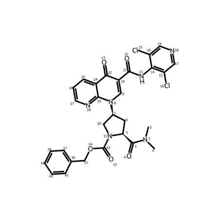 CN(C)C(=O)[C@@H]1C[C@H](n2cc(C(=O)Nc3c(Cl)cncc3Cl)c(=O)c3cccnc32)CN1C(=O)OCc1ccccc1